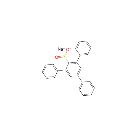 O=S([O-])c1c(-c2ccccc2)cc(-c2ccccc2)cc1-c1ccccc1.[Na+]